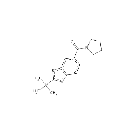 CC(C)(C)c1nc2ccc(C(=O)N3CCCC3)cc2s1